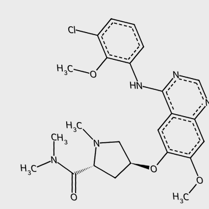 COc1cc2ncnc(Nc3cccc(Cl)c3OC)c2cc1O[C@H]1C[C@H](C(=O)N(C)C)N(C)C1